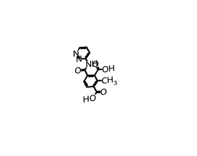 Cc1c(C(=O)O)ccc(C(=O)Nc2cccnn2)c1C(=O)O